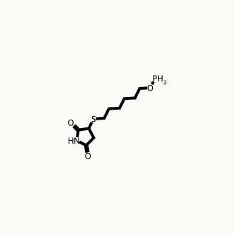 O=C1CC(SCCCCCCOP)C(=O)N1